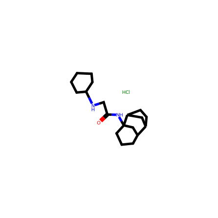 Cl.O=C(CNC1CCCCC1)NC12CCCC(C1)C1CCC2C1